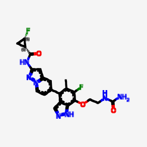 Cc1c(F)c(OCCNC(N)=O)c2[nH]ncc2c1-c1ccn2nc(NC(=O)[C@@H]3C[C@@H]3F)cc2c1